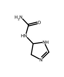 NC(=O)NC1CN=CN1